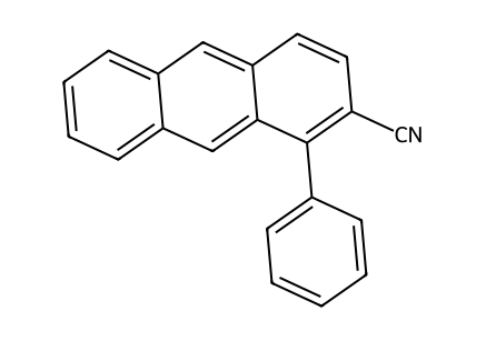 N#Cc1ccc2cc3ccccc3cc2c1-c1ccccc1